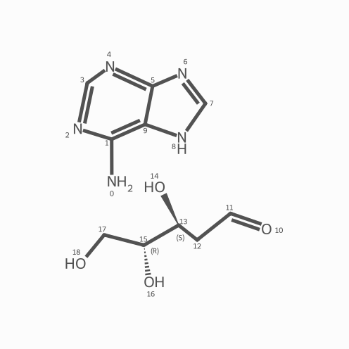 Nc1ncnc2nc[nH]c12.O=CC[C@H](O)[C@H](O)CO